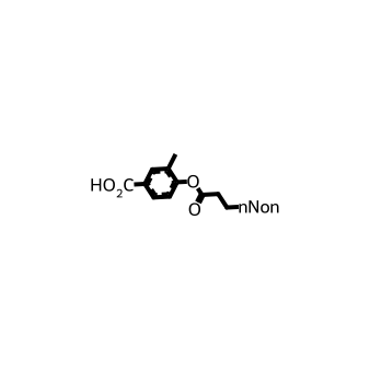 CCCCCCCCCCCC(=O)Oc1ccc(C(=O)O)cc1C